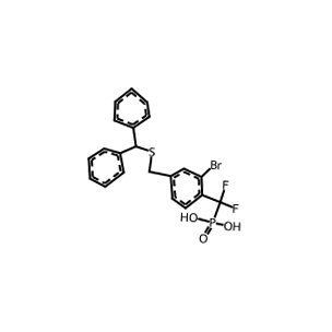 O=P(O)(O)C(F)(F)c1ccc(CSC(c2ccccc2)c2ccccc2)cc1Br